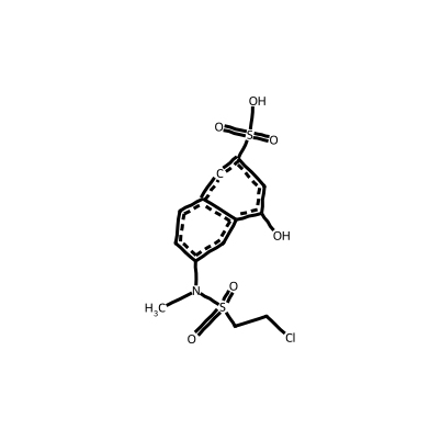 CN(c1ccc2cc(S(=O)(=O)O)cc(O)c2c1)S(=O)(=O)CCCl